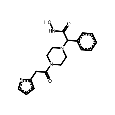 O=C(NO)C(c1ccccc1)N1CCN(C(=O)Cc2cccs2)CC1